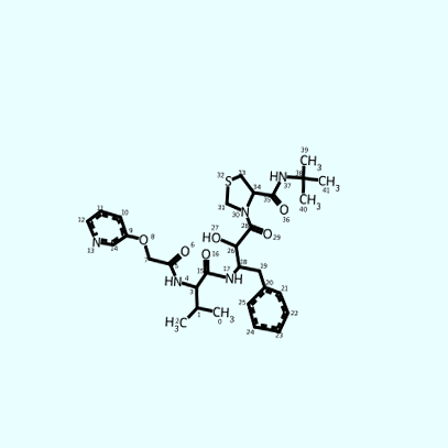 CC(C)C(NC(=O)COc1cccnc1)C(=O)NC(Cc1ccccc1)C(O)C(=O)N1CSCC1C(=O)NC(C)(C)C